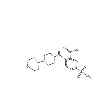 NS(=O)(=O)c1ccc(NC2CCN(C3CCOCC3)CC2)c([N+](=O)[O-])c1